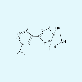 Cc1cncc(C2=CC[C@H]3CNC[C@H]3C2)c1